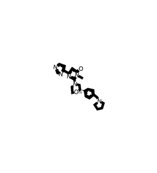 Cn1c(N2CCO[C@@H](c3ccc(CN4CCCC4)cc3)C2)nc(-c2ccncn2)cc1=O